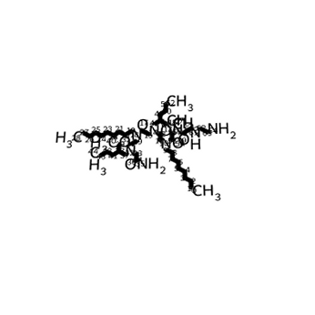 CCCCCCCCCCN(CC(=O)N(CC(=O)N(CCCCCCCCCC)CC(=O)N(CC(N)=O)CC(CC)CCCC)CC(CC)CCCC)C(=O)CN(C)C(=O)CNCCN